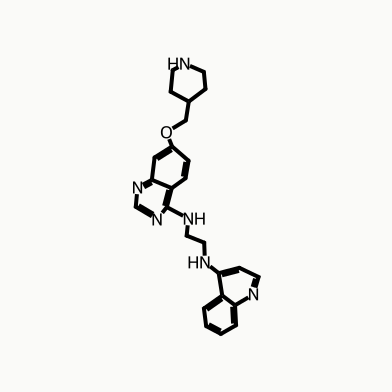 c1ccc2c(NCCNc3ncnc4cc(OCC5CCNCC5)ccc34)ccnc2c1